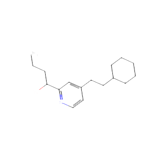 CCCC(O)c1cc(CCC2CCCCC2)ccn1